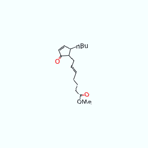 CCCCC1C=CC(=O)C1CC=CCCCC(=O)OC